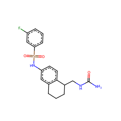 NC(=O)NCC1CCCc2cc(NS(=O)(=O)c3cccc(F)c3)ccc21